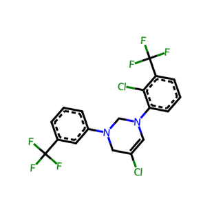 FC(F)(F)c1cccc(N2CC(Cl)=CN(c3cccc(C(F)(F)F)c3Cl)C2)c1